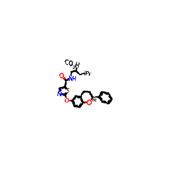 CC(C)CC(CNC(=O)c1cnc(Oc2ccc3c(c2)CC[C@@H](c2ccccc2)O3)s1)C(=O)O